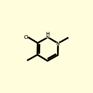 CC1=C(Cl)NN(C)C=C1